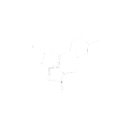 CN1CC=C(c2cc(O)cc3c2n(C)c(=O)n3C)CC1